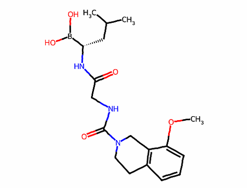 COc1cccc2c1CN(C(=O)NCC(=O)N[C@@H](CC(C)C)B(O)O)CC2